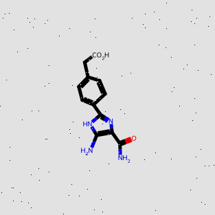 NC(=O)c1nc(-c2ccc(CC(=O)O)cc2)[nH]c1N